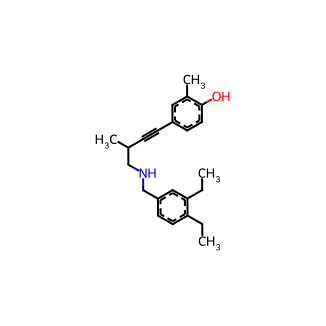 CCc1ccc(CNCC(C)C#Cc2ccc(O)c(C)c2)cc1CC